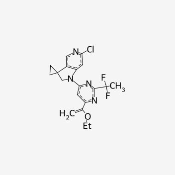 C=C(OCC)c1cc(N2CC3(CC3)c3cnc(Cl)cc32)nc(C(C)(F)F)n1